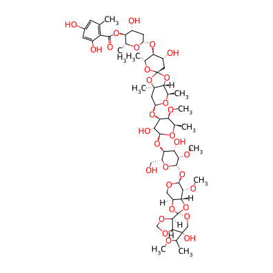 COC(C)[C@]1(O)CO[C@]2(O[C@H]3[C@@H](OC)[C@H](O[C@@H]4O[C@H](CO)[C@@H](O[C@@H]5O[C@H](C)[C@H](OC)[C@H](O[C@H]6C[C@@]7(C)O[C@@]8(C[C@@H](O)[C@H](O[C@H]9C[C@@H](O)[C@H](OC(=O)c%10c(C)cc(O)cc%10O)[C@@H](C)O9)[C@@H](C)O8)O[C@@H]7[C@@H](C)O6)[C@H]5O)[C@H](O)[C@@H]4OC)OC[C@@H]3O2)[C@@H]2OCO[C@H]21